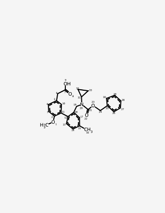 COc1ccc(CC(=O)O)cc1-c1ccc(C)cc1CN(C(=O)OCc1ccccc1)C1CC1